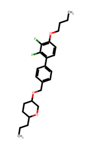 CCCCOc1ccc(-c2ccc(COC3CCC(CCC)OC3)cc2)c(F)c1F